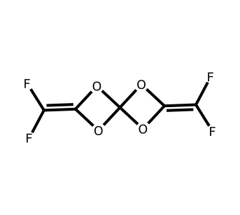 FC(F)=C1OC2(O1)OC(=C(F)F)O2